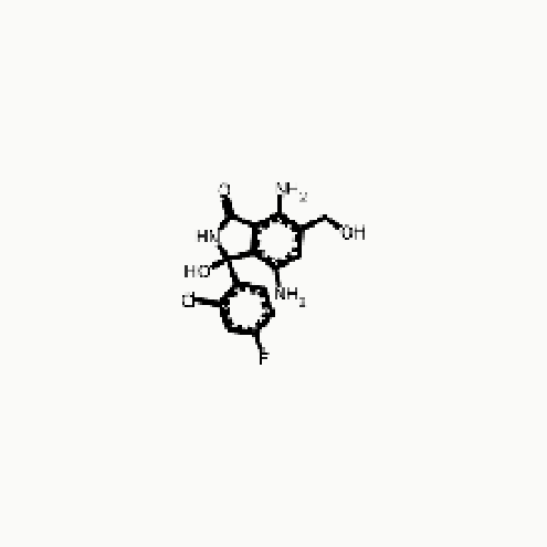 Nc1cc(CO)c(N)c2c1C(O)(c1ccc(F)cc1Cl)NC2=O